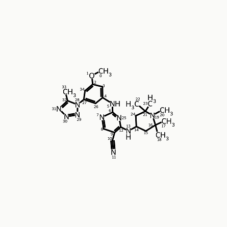 COc1cc(Nc2ncc(C#N)c(NC3CC(C)(C)N(C)C(C)(C)C3)n2)cc(-n2nnnc2C)c1